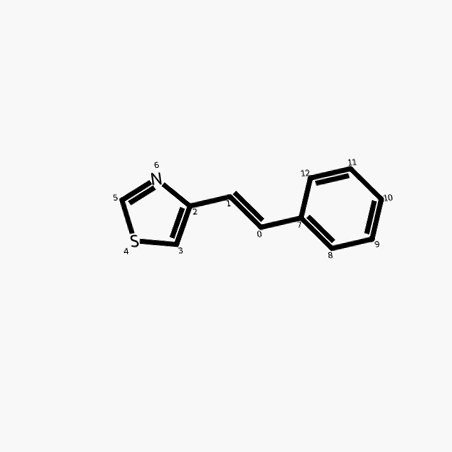 C(=Cc1cscn1)c1ccccc1